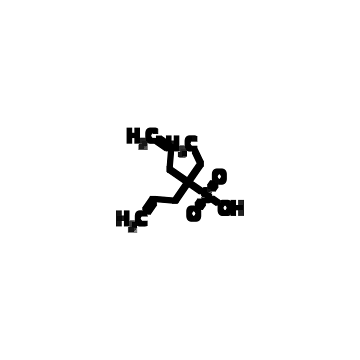 C=CCC(CC)(CC=C)S(=O)(=O)O